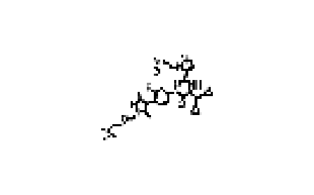 Cc1nn(COCCS(C)(C)C)c(C)c1-c1ccc(NC(=O)[C@@H](NC(=O)c2ccnn2CC[S+](C)[O-])C(C2CC2)C2CC2)nc1F